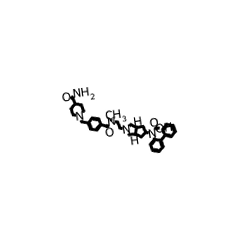 CN(CCN1C[C@H]2CC(N(C(=O)O)c3ccccc3-c3ccccc3)C[C@H]2C1)C(=O)c1ccc(CN2CCC(C(N)=O)CC2)cc1